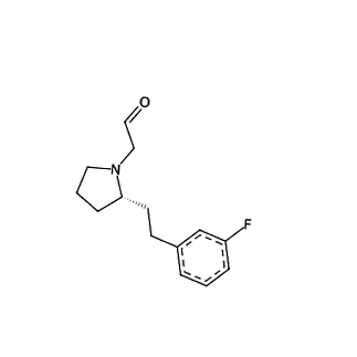 O=CCN1CCC[C@H]1CCc1cccc(F)c1